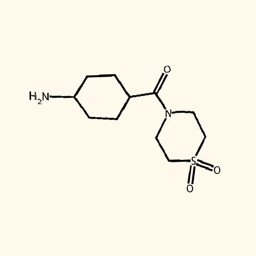 NC1CCC(C(=O)N2CCS(=O)(=O)CC2)CC1